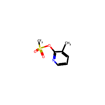 Cc1cccnc1OS(=O)(=O)C(F)(F)F